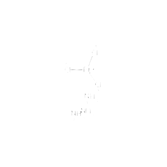 N.N.N.[Cl][Pt]([Cl])[Cl]